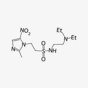 CCN(CC)CCNS(=O)(=O)CCn1c([N+](=O)[O-])cnc1C